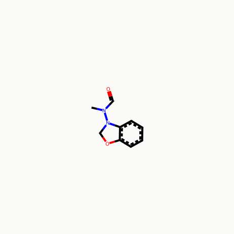 CN([C]=O)N1COc2ccccc21